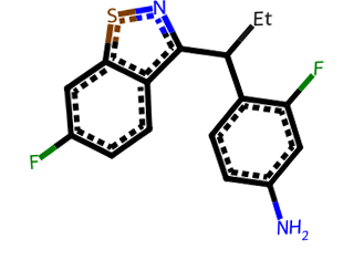 [CH2]CC(c1ccc(N)cc1F)c1nsc2cc(F)ccc12